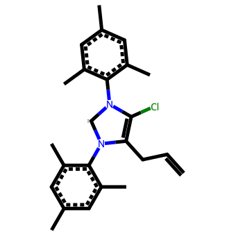 C=CCC1=C(Cl)N(c2c(C)cc(C)cc2C)[C]N1c1c(C)cc(C)cc1C